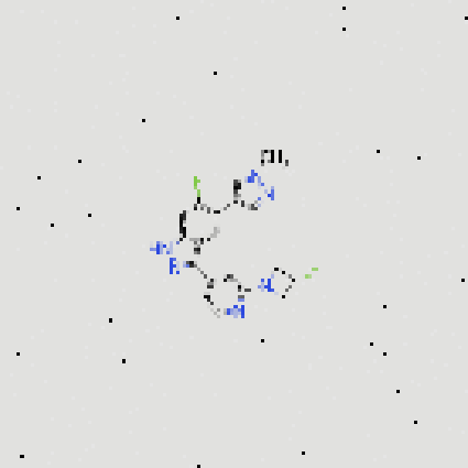 Cn1cc(-c2cc3c(-c4ccnc(N5CC(F)C5)c4)n[nH]c3cc2F)cn1